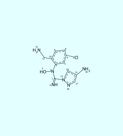 N=C(N(O)c1cc(Cl)ccc1CN)n1cc(N)cn1